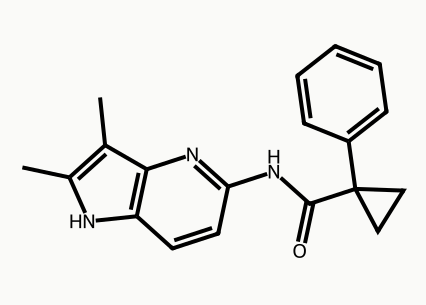 Cc1[nH]c2ccc(NC(=O)C3(c4ccccc4)CC3)nc2c1C